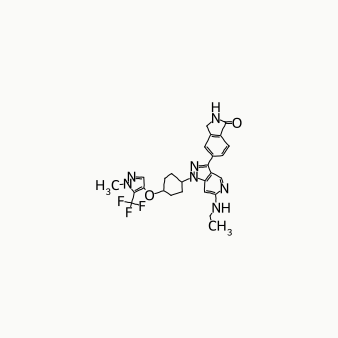 CCNc1cc2c(cn1)c(-c1ccc3c(c1)CNC3=O)nn2C1CCC(Oc2cnn(C)c2C(F)(F)F)CC1